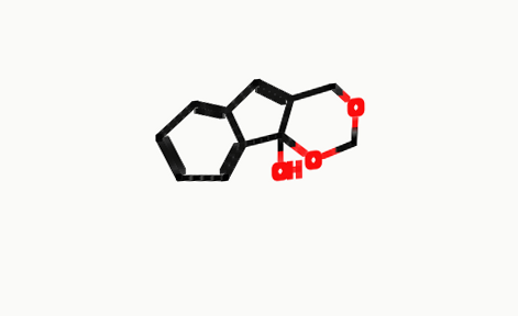 OC12OCOCC1=Cc1ccccc12